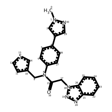 Cn1cc(-c2ccc(N(Cc3ccsc3)C(=O)Cn3nnc4ccccc43)cc2)cn1